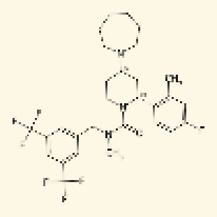 Cc1cc(F)ccc1[C@H]1C[C@@H](N2CCCCCC2)CCN1C(=O)N(C)Cc1cc(C(F)(F)F)cc(C(F)(F)F)c1